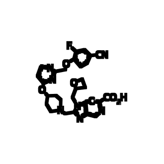 N#Cc1ccc(OCc2nccc(OC3CCN(Cc4nc5cnc(C(=O)O)cc5n4CC4CCO4)CC3)n2)c(F)c1